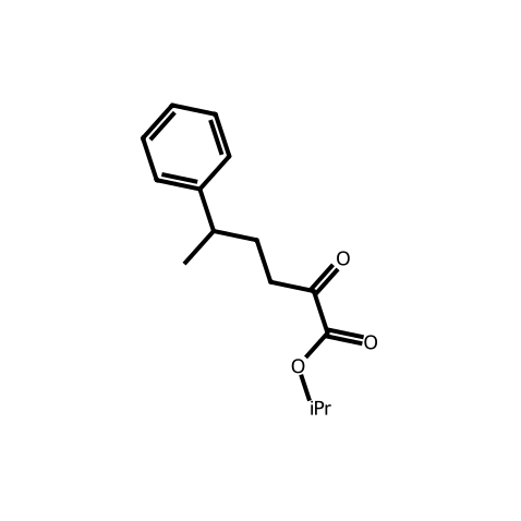 CC(C)OC(=O)C(=O)CCC(C)c1ccccc1